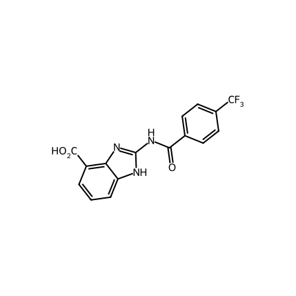 O=C(Nc1nc2c(C(=O)O)cccc2[nH]1)c1ccc(C(F)(F)F)cc1